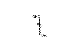 CCCCCCCCCCCCCCCCCC(=O)NCCCCCC=O